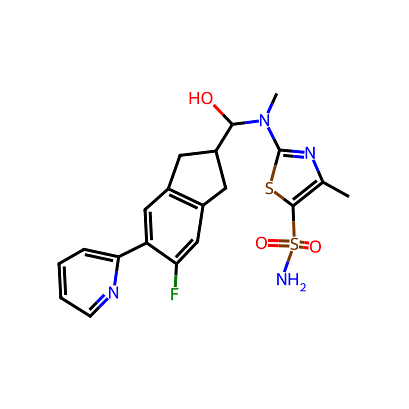 Cc1nc(N(C)C(O)C2Cc3cc(F)c(-c4ccccn4)cc3C2)sc1S(N)(=O)=O